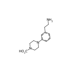 NCCc1cccc(N2CCN(C(=O)O)CC2)c1